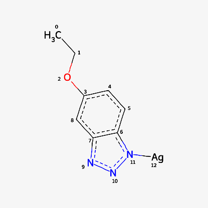 CCOc1ccc2c(c1)nn[n]2[Ag]